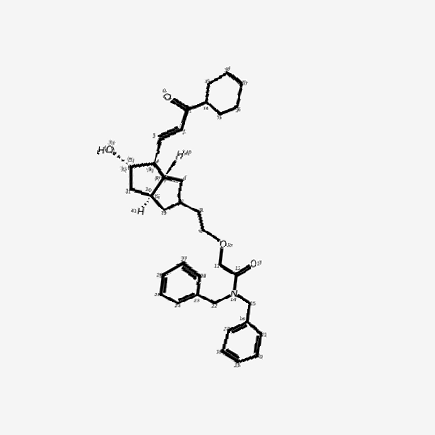 O=C(C=C[C@H]1[C@@H]2CC(CCOCC(=O)N(Cc3ccccc3)Cc3ccccc3)C[C@H]2C[C@@H]1O)C1CCCCC1